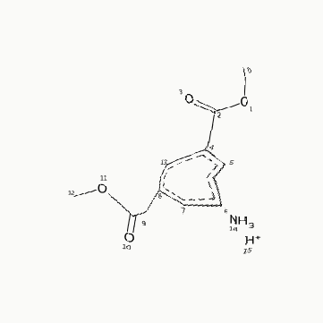 COC(=O)c1cccc(C(=O)OC)c1.N.[H+]